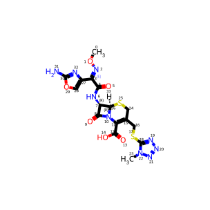 CO/N=C(/C(=O)N[C@@H]1C(=O)N2C(C(=O)O)=C(CSc3nnnn3C)CS[C@H]12)c1coc(N)n1